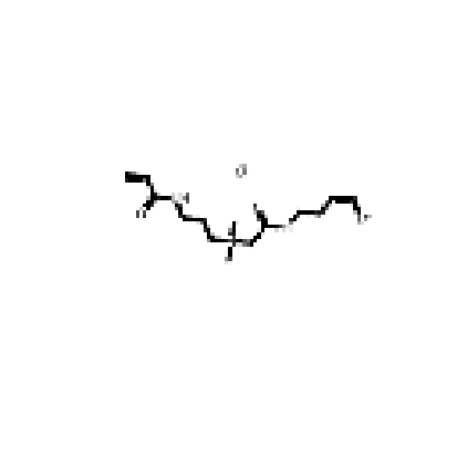 C=CC(=O)NCCC[N+](C)(C)CC(=O)OCC/C=C\CC.[Cl-]